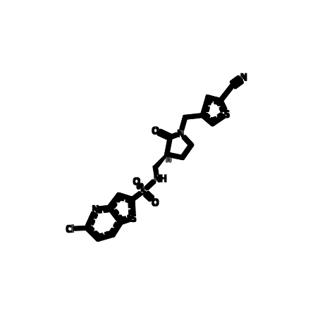 N#Cc1cc(CN2CC[C@@H](CNS(=O)(=O)c3cc4nc(Cl)ccc4s3)C2=O)cs1